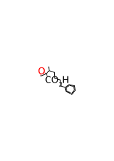 CC(CCCCc1ccccc1)C1(C(=O)O)CO1